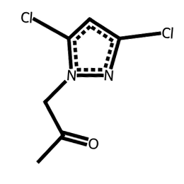 CC(=O)Cn1nc(Cl)cc1Cl